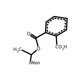 CCCCCCCCCC(C)OC(=O)c1ccccc1C(=O)O